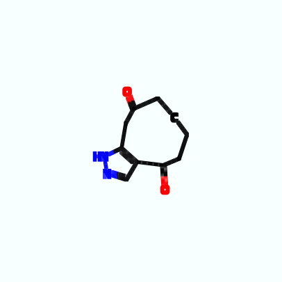 O=C1CCCCC(=O)c2cn[nH]c2C1